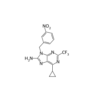 Nc1nc2c(C3CC3)nc(C(F)(F)F)nc2n1Cc1cccc([N+](=O)[O-])c1